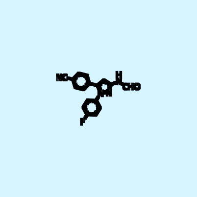 N#Cc1ccc(-c2cc(NC=O)nn2-c2ccc(F)cc2)cc1